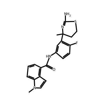 Cn1ccc2c(C(=O)Nc3ccc(F)c(C4(C)CCSC(N)=N4)c3)cccc21